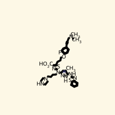 C/C(=C/C(=N)N(CCCCN1CCNCC1)c1nc(C(=O)O)c(CCCOc2ccc(C#CCN(C)C)cc2F)s1)C(=N)Nc1nc2ccccc2s1